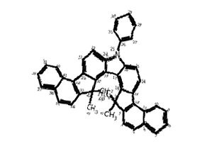 CC1(C)c2ccc3ccccc3c2-c2ccc3c(c21)c1c2c(ccc1n3-c1ccccc1)-c1c(ccc3ccccc13)C2(C)C